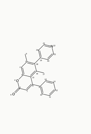 Cc1cc2oc(=O)cc(-c3ccccc3)c2c(C)c1-c1ccncc1